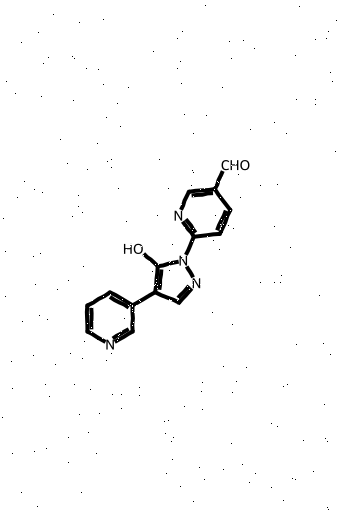 O=Cc1ccc(-n2ncc(-c3cccnc3)c2O)nc1